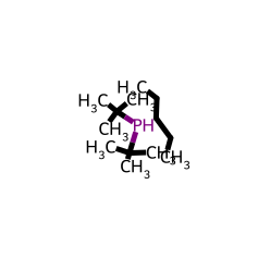 CC(C)(C)PC(C)(C)C.CCCCC